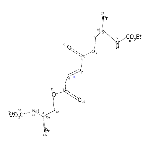 CCOC(=O)N[C@H](COC(=O)/C=C/C(=O)OC[C@@H](NC(=O)OCC)C(C)C)C(C)C